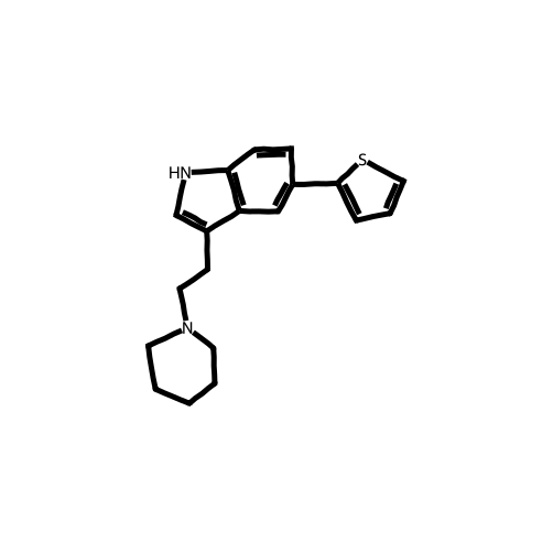 c1csc(-c2ccc3[nH]cc(CCN4CCCCC4)c3c2)c1